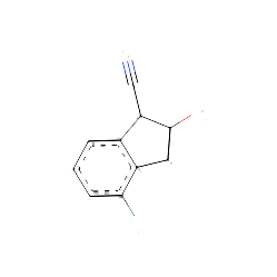 N#CC1c2cccc(Cl)c2CC1O